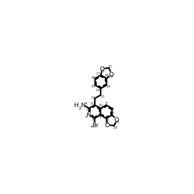 Nc1nc(Br)c2c3c(ccc2c1CCc1ccc2c(c1)OCO2)OCO3